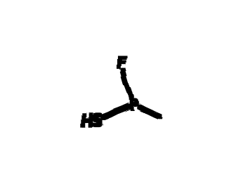 CP(F)S